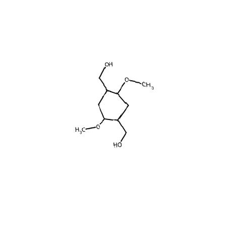 COC1CC(CO)C(OC)CC1CO